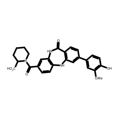 COc1cc(-c2ccc3c(c2)Nc2ccc(C(=O)N4CCCCC4C(=O)O)cc2NC3=O)ccc1O